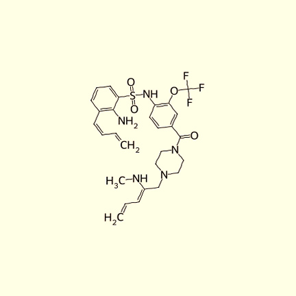 C=C/C=C\c1cccc(S(=O)(=O)Nc2ccc(C(=O)N3CCN(C/C(=C/C=C)NC)CC3)cc2OC(F)(F)F)c1N